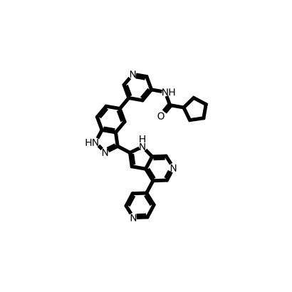 O=C(Nc1cncc(-c2ccc3[nH]nc(-c4cc5c(-c6ccncc6)cncc5[nH]4)c3c2)c1)C1CCCC1